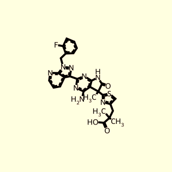 CC(C)(Cc1csc(C2(C)C(=O)Nc3nc(-c4nn(Cc5ccccc5F)c5ncccc45)nc(N)c32)n1)C(=O)O